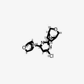 Clc1cc(N2C=C3CC2CO3)nc(N2C3CCC2COC3)n1